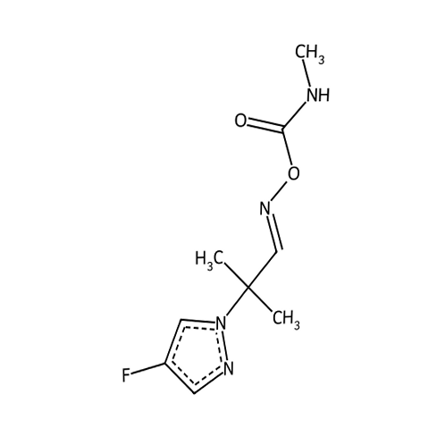 CNC(=O)ON=CC(C)(C)n1cc(F)cn1